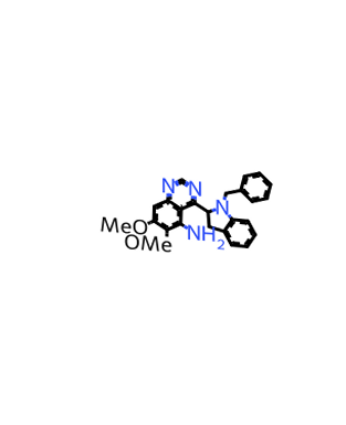 COc1cc2ncnc(C3Cc4ccccc4N3Cc3ccccc3)c2c(N)c1OC